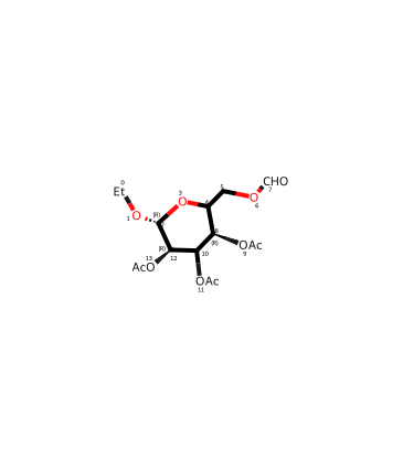 CCO[C@@H]1OC(COC=O)[C@@H](OC(C)=O)C(OC(C)=O)[C@H]1OC(C)=O